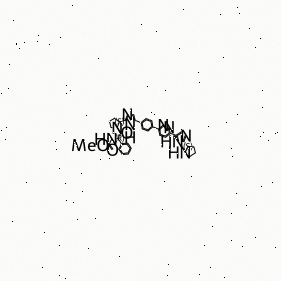 COC(=O)N[C@@H](C(=O)N1CCC[C@H]1c1ncc(-c2ccc(-c3ccc(-c4cnc([C@@H]5CCCN5)[nH]4)nn3)cc2)[nH]1)c1ccccc1